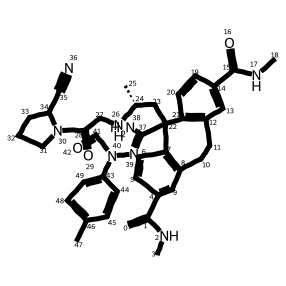 C=C(NC)c1ccc2c(c1)CCc1cc(C(=O)NC)ccc1C2(C[C@@H](C)NCC(=O)N1CCCC1C#N)/C(N)=N/N(C=O)c1ccc(C)cc1